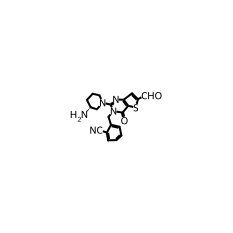 N#Cc1ccccc1Cn1c(N2CCC[C@@H](N)C2)nc2cc(C=O)sc2c1=O